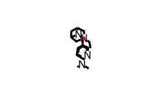 CCN1CC2CC(C1)N2Cc1ccc(N(C)C)nc1